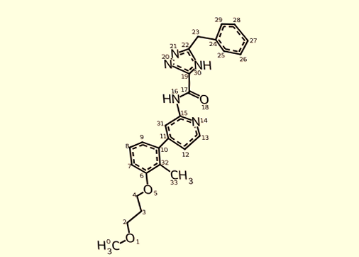 COCCCOc1cccc(-c2ccnc(NC(=O)c3nnc(Cc4ccccc4)[nH]3)c2)c1C